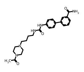 CC(=O)N1CCN(CCCCNC(=O)Nc2ccc(-c3cccc(C(N)=O)c3)cc2)CC1